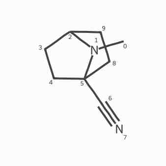 CN1C2CCC1(C#N)CC2